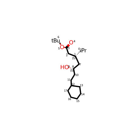 CC(C)[C@@H]([CH]C(=O)OC(C)(C)C)C[C@@H](O)CCC1CCCCC1